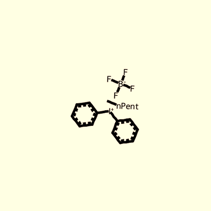 CCCCCC.F[B-](F)(F)F.c1ccc([I+]c2ccccc2)cc1